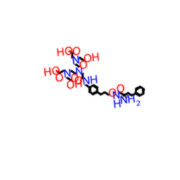 N[C@H](CCc1ccccc1)C(=O)NOCCCc1ccc(CNC(=O)CN(CCN(CC(=O)O)CC(=O)O)CCN(CC(=O)O)CC(=O)O)cc1